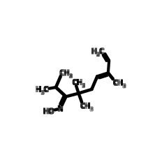 C=CC(C)=CCC(C)(C)C(=NO)C(C)C